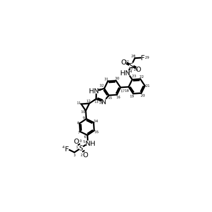 O=S(=O)(CF)Nc1ccc(C2CC2c2nc3cc(-c4ccccc4NS(=O)(=O)CF)ccc3[nH]2)cc1